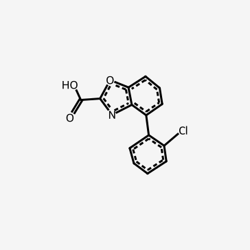 O=C(O)c1nc2c(-c3ccccc3Cl)cccc2o1